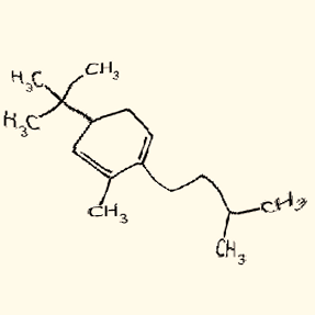 CC1=CC(C(C)(C)C)CC=C1CCC(C)C